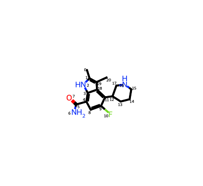 Cc1[nH]c2c(C(N)=O)cc(F)c(C3CCCNC3)c2c1C